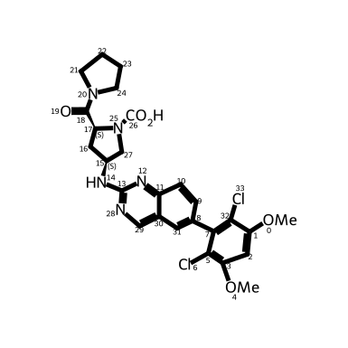 COc1cc(OC)c(Cl)c(-c2ccc3nc(N[C@H]4C[C@@H](C(=O)N5CCCC5)N(C(=O)O)C4)ncc3c2)c1Cl